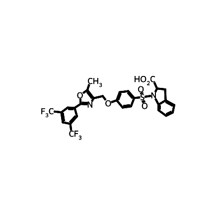 Cc1oc(-c2cc(C(F)(F)F)cc(C(F)(F)F)c2)nc1COc1ccc(S(=O)(=O)N2c3ccccc3CC2C(=O)O)cc1